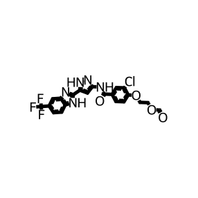 O=COCCOc1ccc(C(=O)Nc2cc(-c3nc4cc(C(F)(F)F)ccc4[nH]3)[nH]n2)cc1Cl